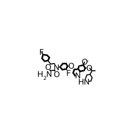 COc1cc2c(Oc3ccc(N(CCc4ccc(F)cc4)C(=O)C(N)=O)cc3F)ccnc2cc1OC(C)C1CCNCC1